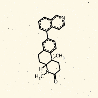 CN1C(=O)CC[C@]2(C)c3ccc(-c4cccc5cnccc45)cc3CC[C@@H]12